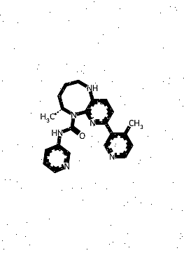 Cc1ccncc1-c1ccc2c(n1)N(C(=O)Nc1cccnc1)[C@H](C)CCCN2